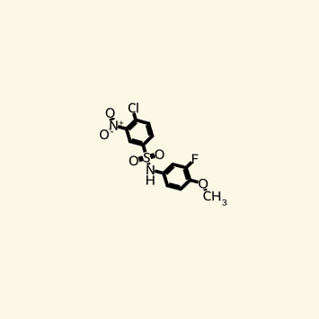 COc1ccc(NS(=O)(=O)c2ccc(Cl)c([N+](=O)[O-])c2)cc1F